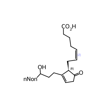 CCCCCCCCCC(O)CCC1=CCC(=O)[C@@H]1C/C=C\CCCC(=O)O